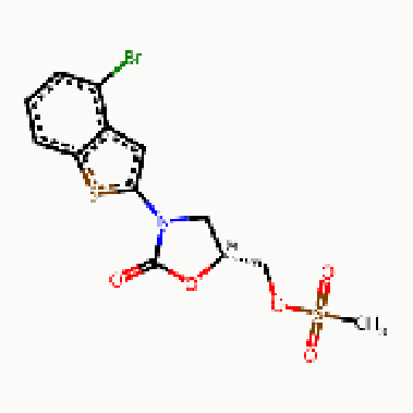 CS(=O)(=O)OC[C@H]1CN(c2cc3c(Br)cccc3s2)C(=O)O1